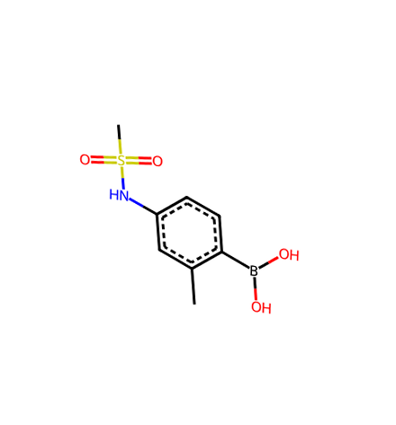 Cc1cc(NS(C)(=O)=O)ccc1B(O)O